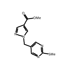 COC(=O)c1cnn(Cc2cnc(SC)nc2)c1